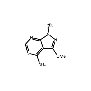 COc1nn(C(C)(C)C)c2ncnc(N)c12